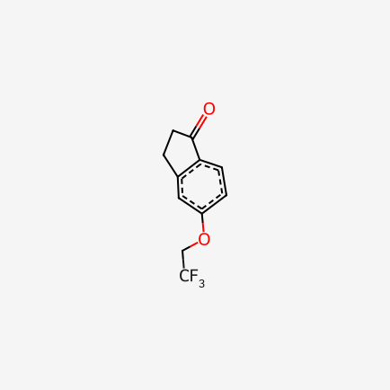 O=C1CCc2cc(OCC(F)(F)F)ccc21